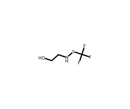 OCCNSC(F)(F)F